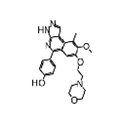 COc1c(OCCN2CCOCC2)cc2c(-c3ccc(O)cc3)nc3[nH]ncc3c2c1C